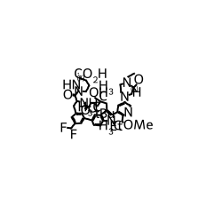 CCn1c(-c2cc(N3CCN4CCOC[C@@H]4C3)cnc2C(C)OC)c(CC(C)(C)CO)c2cc(-c3cc(CC(NC(=O)OC(C)(C)C)C(=O)N4CCC[C@@H](C(=O)O)N4)cc(C(F)F)c3)ccc21